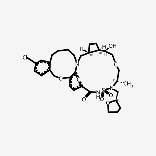 C[C@H]1CCC[C@H](O)[C@@H]2CC[C@H]2CN2CCCCc3cc(Cl)ccc3COc3ccc(cc32)C(=O)NS(=O)(=O)N1C[C@H]1CCCO1